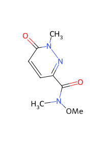 CON(C)C(=O)c1ccc(=O)n(C)n1